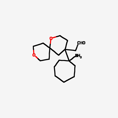 BC1(C2(CC=O)CCOC3(CCOCC3)C2)CCCCCC1